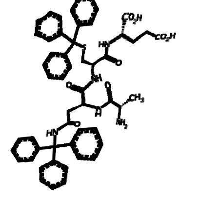 C[C@H](N)C(=O)N[C@@H](CC(=O)NC(c1ccccc1)(c1ccccc1)c1ccccc1)C(=O)N[C@@H](CSC(c1ccccc1)(c1ccccc1)c1ccccc1)C(=O)N[C@@H](CCC(=O)O)C(=O)O